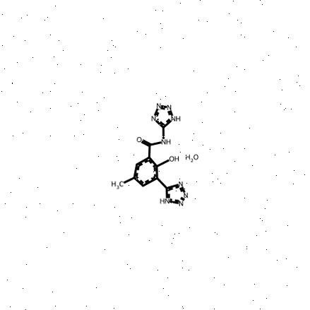 Cc1cc(C(=O)Nc2nnn[nH]2)c(O)c(-c2nnn[nH]2)c1.O